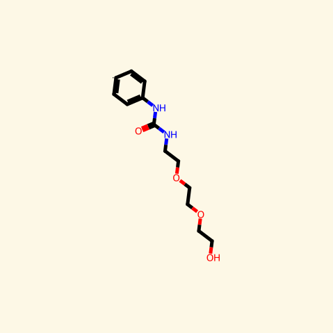 O=C(NCCOCCOCCO)Nc1cc[c]cc1